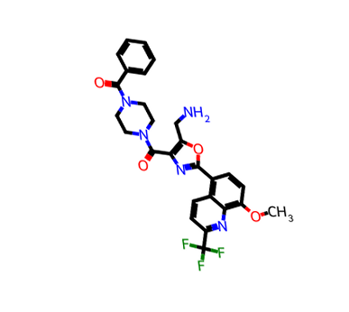 COc1ccc(-c2nc(C(=O)N3CCN(C(=O)c4ccccc4)CC3)c(CN)o2)c2ccc(C(F)(F)F)nc12